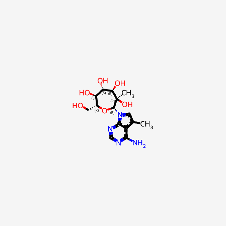 Cc1cn([C@@H]2O[C@H](CO)[C@@H](O)[C@H](O)[C@@H](O)[C@@]2(C)O)c2ncnc(N)c12